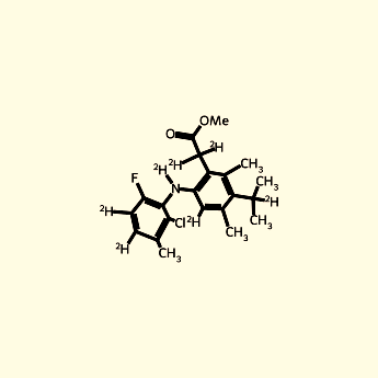 [2H]c1c([2H])c(F)c(N([2H])c2c([2H])c(C)c(C([2H])(C)C)c(C)c2C([2H])([2H])C(=O)OC)c(Cl)c1C